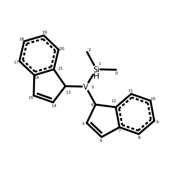 C[SiH](C)[V]([CH]1C=Cc2ccccc21)[CH]1C=Cc2ccccc21